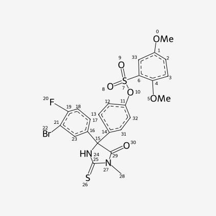 COc1ccc(OC)c(S(=O)(=O)Oc2ccc(C3(c4ccc(F)c(Br)c4)NC(=S)N(C)C3=O)cc2)c1